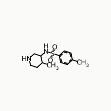 Cc1ccc(S(=O)(=O)NC2CNCCC2C)cc1